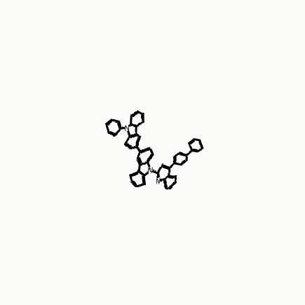 C1=CC2c3cc(-c4ccc5c(c4)c4ccccc4n5-c4cc(-c5ccc(-c6ccccc6)cc5)c5ccccc5n4)ccc3N(c3ccccc3)C2C=C1